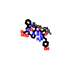 CC(C)[C@H](NC(=O)[C@@H](N)Cc1ccc(O)cc1)C(=O)N[C@H](C(=O)N1CCC[C@H]1C(=O)N[C@@H](Cc1c[nH]c2ccccc12)C(=O)O)C(C)C